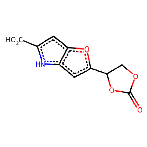 O=C1OCC(c2cc3[nH]c(C(=O)O)cc3o2)O1